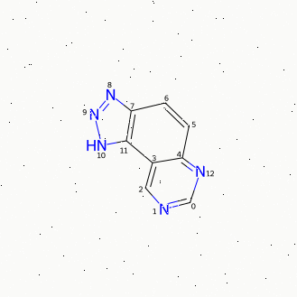 c1ncc2c(ccc3nn[nH]c32)n1